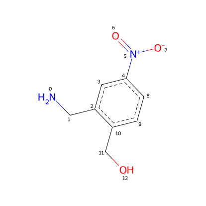 NCc1cc([N+](=O)[O-])ccc1CO